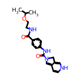 CC(C)OCCNC(=O)c1ccc(NC(=O)N2C=C3C=CNC=C3C2)cc1